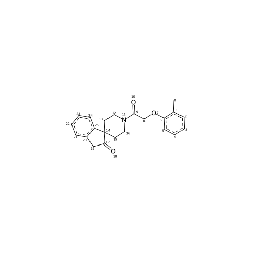 Cc1ccccc1OCC(=O)N1CCC2(CC1)C(=O)Cc1ccccc12